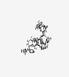 CNC(=O)c1cccc2[nH]c(-c3n[nH]c4ncc(-c5cncc(NS(C)(=O)=O)c5)cc34)cc12